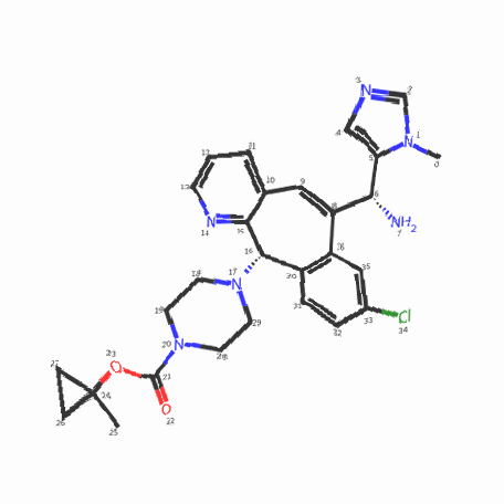 Cn1cncc1[C@H](N)C1=Cc2cccnc2[C@@H](N2CCN(C(=O)OC3(C)CC3)CC2)c2ccc(Cl)cc21